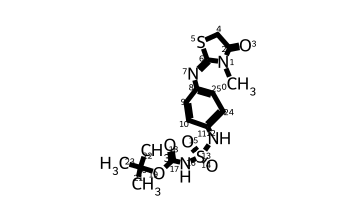 CN1C(=O)CSC1=Nc1ccc(NS(=O)(=O)NC(=O)OC(C)(C)C)cc1